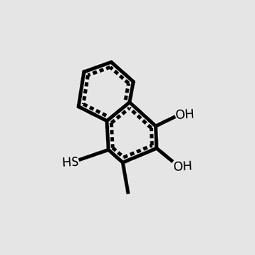 Cc1c(O)c(O)c2ccccc2c1S